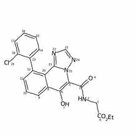 CCOC(=O)CNC(=O)c1c(O)c2cccc(-c3ccccc3Cl)c2c2ncnn12